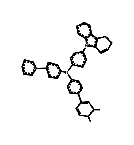 CC1C=CC(c2ccc(N(c3ccc(-c4ccccc4)cc3)c3ccc(-n4c5c(c6ccccc64)CCC=C5)cc3)cc2)=CC1C